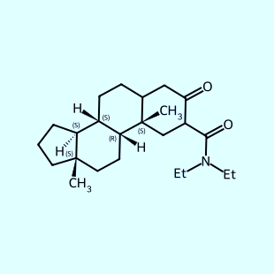 CCN(CC)C(=O)C1C[C@@]2(C)C(CC[C@@H]3[C@H]2CC[C@]2(C)CCC[C@@H]32)CC1=O